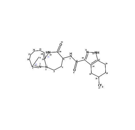 C/C1=N\N2CCC(NC(=O)c3n[nH]c4c3CC(C(F)(F)F)CC4)C(=O)N/C2=C\CCCC1